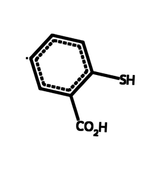 O=C(O)c1c[c]ccc1S